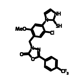 COc1cc(N2C=CNC2S)c(Cl)cc1Cn1nc(-c2ccc(C(F)(F)F)cc2)oc1=O